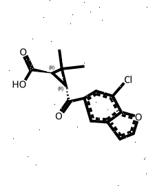 CC1(C)[C@H](C(=O)O)[C@H]1C(=O)c1cc(Cl)c2occc2c1